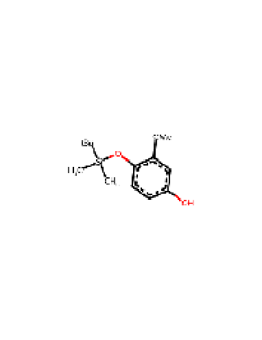 COc1cc(O)ccc1O[Si](C)(C)C(C)(C)C